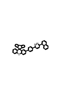 c1ccc2c(c1)Oc1ccc(-c3ccc(-c4ccc(-c5cccc6ccccc56)nn4)cc3)cc1C21c2ccccc2-c2ccccc21